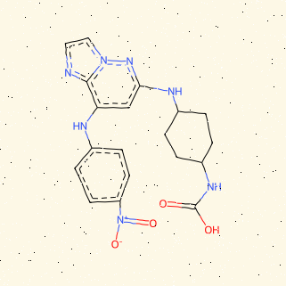 O=C(O)NC1CCC(Nc2cc(Nc3ccc([N+](=O)[O-])cc3)c3nccn3n2)CC1